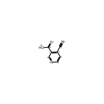 N#Cc1ccncc1C(=O)O